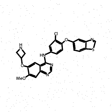 COc1cc2ncnc(Nc3ccc(Oc4ccc5scnc5c4)c(Cl)c3)c2cc1OC1CNC1